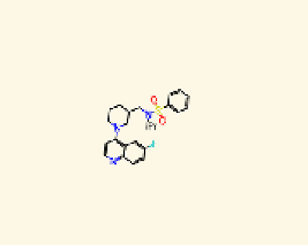 CC(C)N(CC1CCCN(c2ccnc3ccc(F)cc23)C1)S(=O)(=O)c1ccccc1